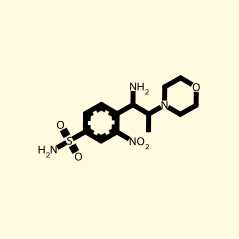 CC(C(N)c1ccc(S(N)(=O)=O)cc1[N+](=O)[O-])N1CCOCC1